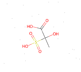 CC(O)(C(=O)O)S(=O)(=O)O